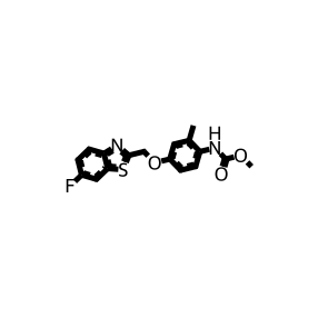 COC(=O)Nc1ccc(OCc2nc3ccc(F)cc3s2)cc1C